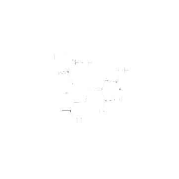 CC(=O)C(CCC(=O)N(C)C)CSC(CC(=O)O)C(=O)O